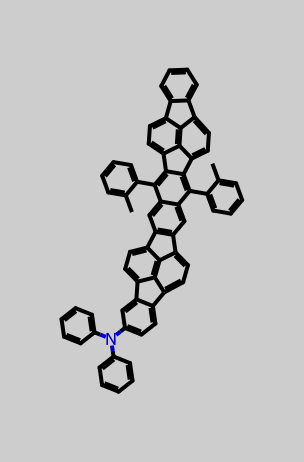 Cc1ccccc1-c1c2cc3c(cc2c(-c2ccccc2C)c2c4ccc5c6c(ccc(c12)c64)-c1ccccc1-5)c1ccc2c4c(ccc3c41)-c1ccc(N(c3ccccc3)c3ccccc3)cc1-2